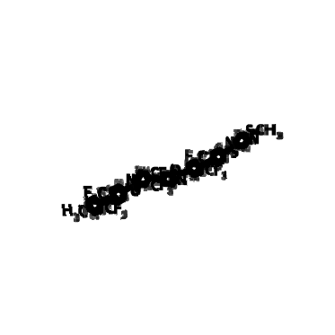 Cc1ccc(C(c2ccc(-c3nc4ccc(C(c5ccc6nc(-c7ccc(C(c8ccc(-c9nc%10cc%11sc(C)nc%11cc%10s9)cc8)(C(F)(F)F)C(F)(F)F)cc7)oc6c5)(C(F)(F)F)C(F)(F)F)cc4o3)cc2)(C(F)(F)F)C(F)(F)F)cc1